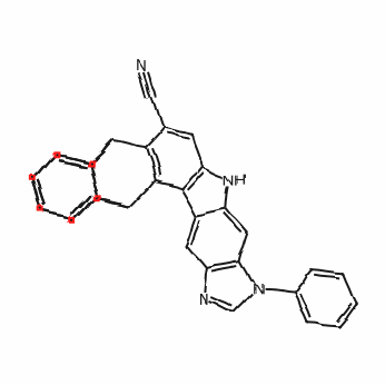 N#Cc1cc2[nH]c3cc4c(cc3c2c2c1C1c3ccccc3C2c2ccccc21)ncn4-c1ccccc1